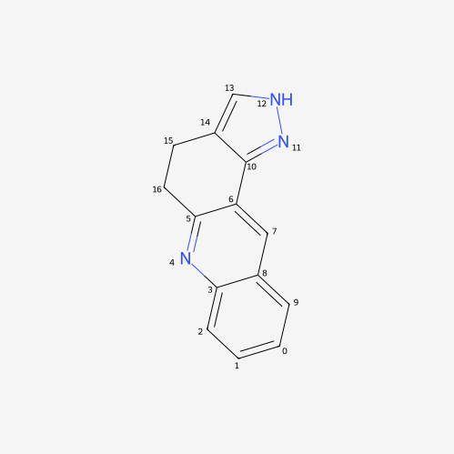 c1ccc2nc3c(cc2c1)-c1n[nH]cc1CC3